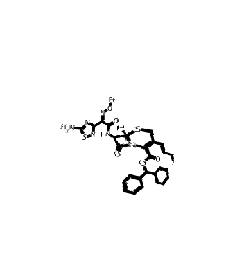 CCO/N=C(\C(=O)NC1C(=O)N2C(C(=O)OC(c3ccccc3)c3ccccc3)=C(C=CCI)CS[C@@H]12)c1nsc(N)n1